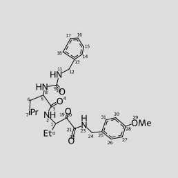 CCC(NC(=O)C(CC(C)C)NC(=O)NCc1ccccc1)C(=O)C(=O)NCc1ccc(OC)cc1